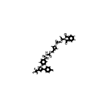 Cc1ccc(-c2cc(C(F)(F)F)nn2-c2ccc(S(=O)(=O)NC(=O)OCC3CN(n4on4OC(C)N4C(=O)c5ccccc5C4=O)C3)cc2)cc1